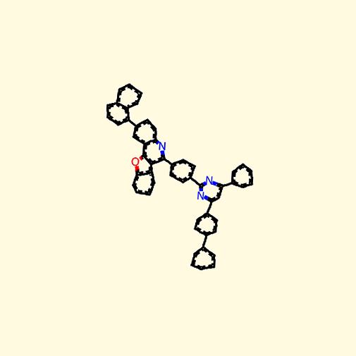 c1ccc(-c2ccc(-c3cc(-c4ccccc4)nc(-c4ccc(-c5nc6ccc(-c7cccc8ccccc78)cc6c6oc7ccccc7c56)cc4)n3)cc2)cc1